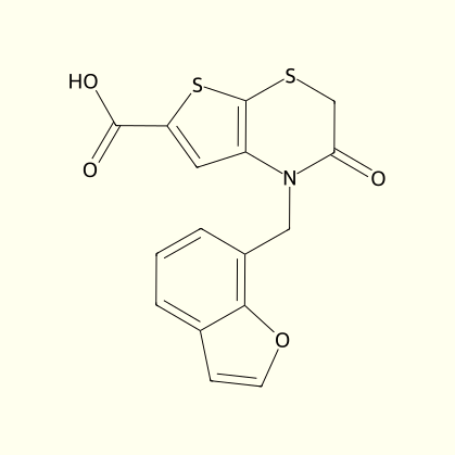 O=C(O)c1cc2c(s1)SCC(=O)N2Cc1cccc2ccoc12